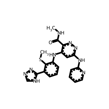 CNC(=O)c1nnc(Nc2ccccn2)cc1Nc1cccc(-c2nnc[nH]2)c1SC